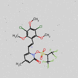 COc1c(Cl)c(OC)c(/C=C/c2cc(C)cc(=O)n2OS(=O)(=O)C(C(F)(F)F)C(F)(F)F)c(OC)c1Cl